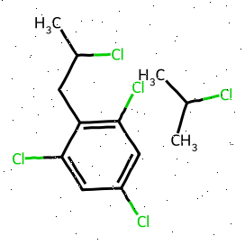 CC(C)Cl.CC(Cl)Cc1c(Cl)cc(Cl)cc1Cl